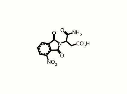 NC(=O)C(CC(=O)O)N1C(=O)c2cccc([N+](=O)[O-])c2C1=O